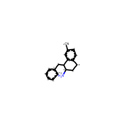 N#Cc1ccc2c(c1)C(Cc1ccccc1)C(N)CC2